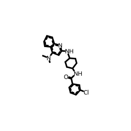 CN(C)c1cc(NC2CCC(NC(=O)c3cccc(Cl)c3)CC2)nc2ccccc12